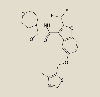 Cc1ncsc1COc1ccc2oc(C(F)F)c(C(=O)NC3(CO)CCOCC3)c2c1